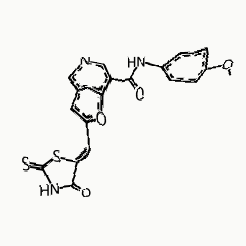 COc1ccc(NC(=O)c2cncc3cc(/C=C4\SC(=S)NC4=O)oc23)cc1